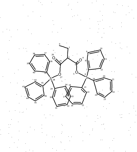 CCC(C(=O)OS(c1ccccc1)(c1ccccc1)c1ccccc1)C(=O)OS(c1ccccc1)(c1ccccc1)c1ccccc1